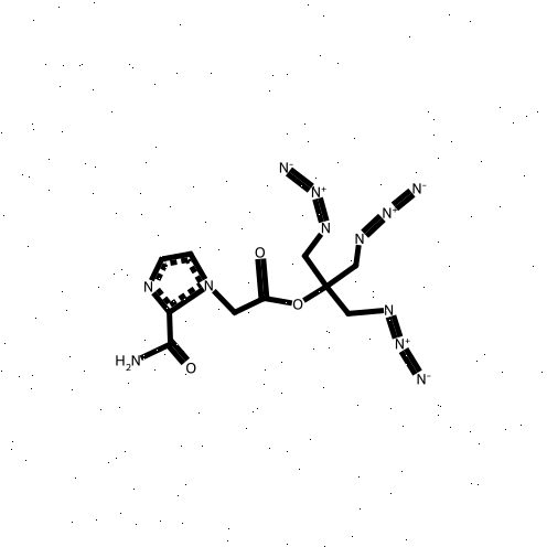 [N-]=[N+]=NCC(CN=[N+]=[N-])(CN=[N+]=[N-])OC(=O)Cn1ccnc1C(N)=O